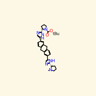 CN1CCC[C@H]1c1ncc(-c2ccc3c(c2)Cc2ccc(-c4cnc([C@@H]5CCCN5C(=O)OC(C)(C)C)[nH]4)cc2C3)[nH]1